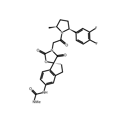 CNC(=O)Nc1ccc2c(c1)CC[C@@]21OC(=O)N(CC(=O)N2[C@@H](C)CC[C@H]2c2ccc(F)c(F)c2)C1=O